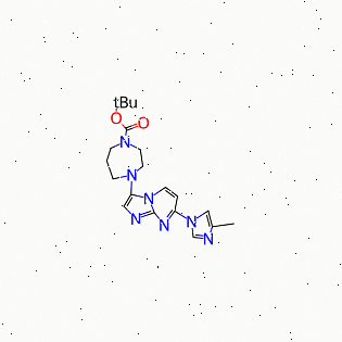 Cc1cn(-c2ccn3c(N4CCCN(C(=O)OC(C)(C)C)CC4)cnc3n2)cn1